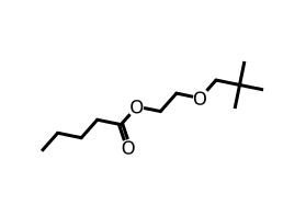 CCCCC(=O)OCCOCC(C)(C)C